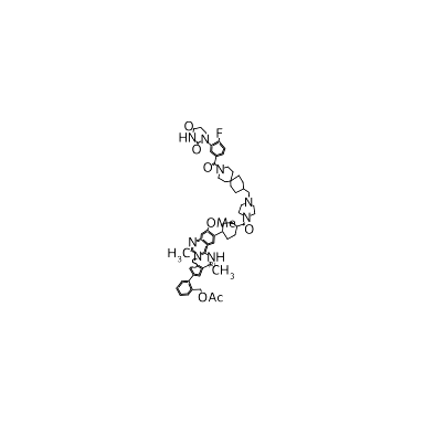 COc1cc2nc(C)nc(N[C@H](C)c3cc(-c4ccccc4COC(C)=O)cs3)c2cc1C1CCC(C(=O)N2CCN(CC3CCC4(CC3)CCN(C(=O)c3ccc(F)c(N5CCC(=O)NC5=O)c3)CC4)CC2)CC1